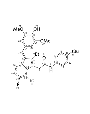 CCC1=C(CC(=O)Nc2ccc(C(C)(C)C)cc2)c2c(ccc(F)c2CC)C1=Cc1cc(OC)c(O)c(OC)c1